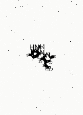 C=C\N=C(Nc1ccc(C)cc1NC)/C(C)=C(C)/C=C\C